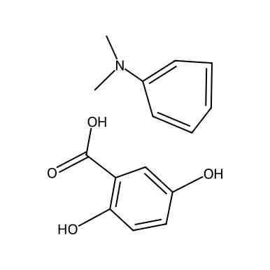 CN(C)c1ccccc1.O=C(O)c1cc(O)ccc1O